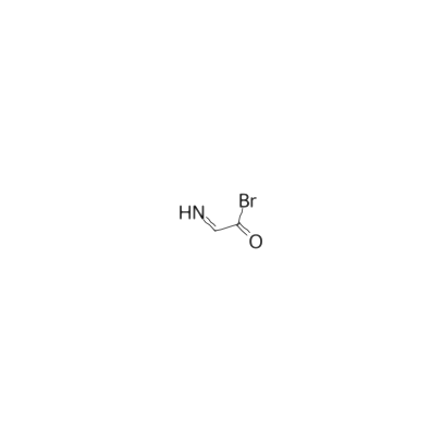 N=CC(=O)Br